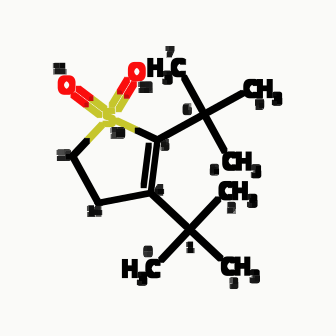 CC(C)(C)C1=C(C(C)(C)C)S(=O)(=O)CC1